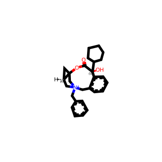 O=C1OC23C[C@@H]2C[N+](Cc2ccccc2)(Cc2ccccc2[C@@]1(O)C1CCCCC1)C3